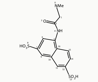 CNCC(=O)Nc1cc(S(=O)(=O)O)cc2cc(S(=O)(=O)O)ccc12